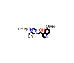 CCCCCCCN1CCN(CC(O)c2ccnc3ccc(OC)cc23)C[C@H]1CC#N